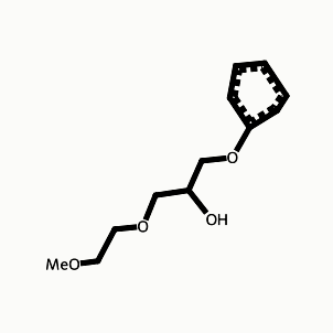 COCCOCC(O)COc1ccccc1